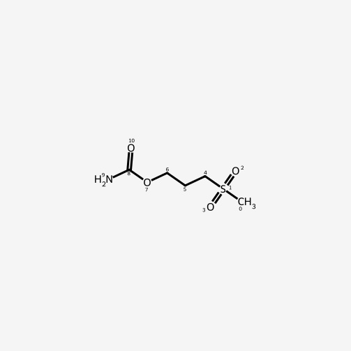 CS(=O)(=O)CCCOC(N)=O